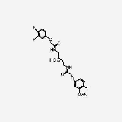 COc1cc(OCC(=O)NCC[C@H](O)CNC(=O)COc2ccc(F)c(F)c2)ccc1F